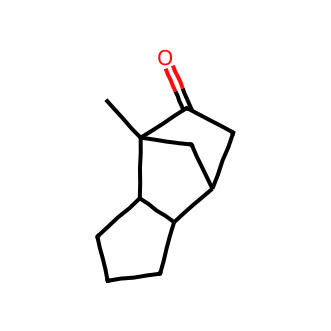 CC12CC(CC1=O)C1CCCC12